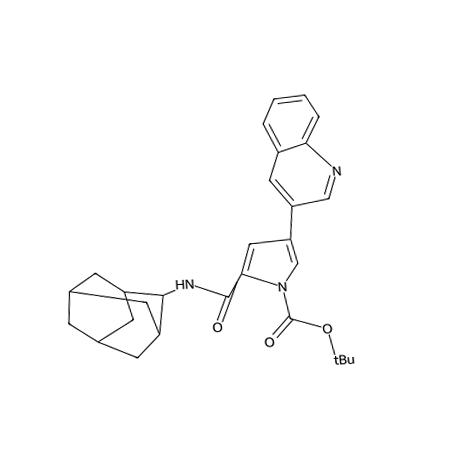 CC(C)(C)OC(=O)n1cc(-c2cnc3ccccc3c2)cc1C(=O)NC1C2CC3CC(C2)CC1C3